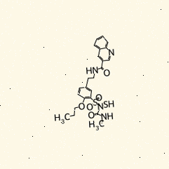 CCCOc1ccc(CCNC(=O)c2cnc3ccccc3c2)cc1S(=O)(=O)N(S)C(=O)NC